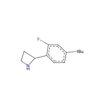 CC(C)(C)c1ccc(C2CCN2)c(F)c1